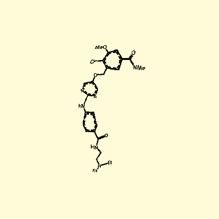 CCN(CC)CCNC(=O)c1ccc(Nc2ncc(OCc3cc(C(=O)NC)cc(OC)c3Cl)cn2)cc1